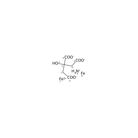 O=C([O-])CC(O)(CC(=O)[O-])C(=O)[O-].[Fe+2].[Fe].[NH4+]